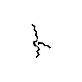 CCCCCCN1C=CN(CCCC)C1CCCC